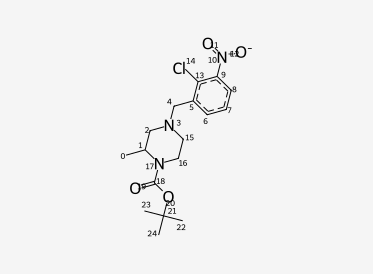 CC1CN(Cc2cccc([N+](=O)[O-])c2Cl)CCN1C(=O)OC(C)(C)C